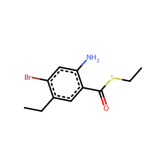 CCSC(=O)c1cc(CC)c(Br)cc1N